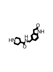 O=C1Cc2cc(CNC(=O)C3CCNCC3)ccc2N1